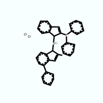 CC1=Cc2c(-c3ccccc3)cccc2[CH]1[Ti+2][CH]1C(P(c2ccccc2)c2ccccc2)=Cc2ccccc21.[Cl-].[Cl-]